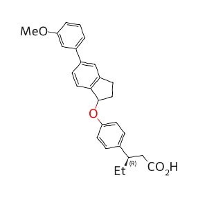 CC[C@H](CC(=O)O)c1ccc(OC2CCc3cc(-c4cccc(OC)c4)ccc32)cc1